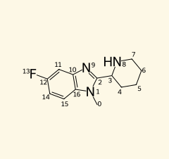 Cn1c(C2CCCCN2)nc2cc(F)ccc21